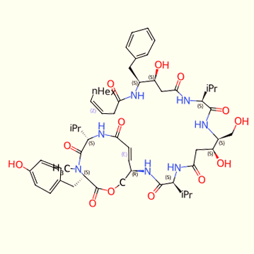 CCCCCC/C=C\CC(=O)N[C@@H](Cc1ccccc1)[C@@H](O)CC(=O)N[C@H](C(=O)N[C@@H](CO)[C@@H](O)CC(=O)N[C@H](C(=O)N[C@@H]1/C=C/C(=O)N[C@@H](C(C)C)C(=O)N(C)[C@@H](Cc2ccc(O)cc2)C(=O)OC1)C(C)C)C(C)C